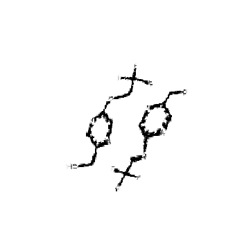 FC(F)(F)COc1cnc(CCl)cn1.OCc1cnc(OCC(F)(F)F)cn1